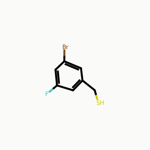 Fc1cc(Br)cc(CS)c1